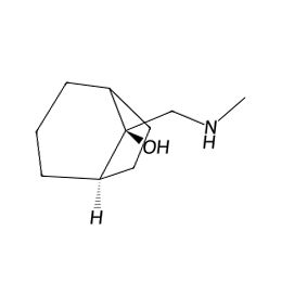 CNC[C@@]1(O)C2CCC[C@@H]1CC2